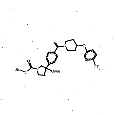 COC1(c2ccc(C(=O)N3CCC(Oc4ccc(C(F)(F)F)cc4)CC3)cc2)CCN(C(=O)OC(C)(C)C)C1